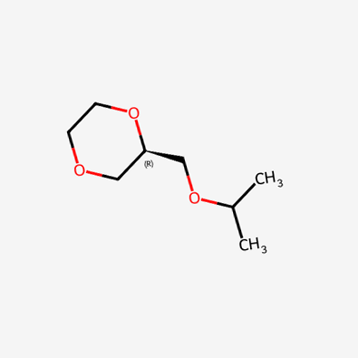 CC(C)OC[C@H]1COCCO1